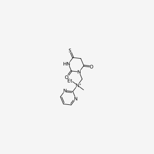 CC[N+](C)(CN1C(=O)CC(=S)NC1=O)c1ncccn1